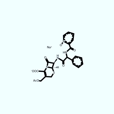 CC(=O)OCC1=C(C(=O)[O-])N2C(=O)[C@@H](NC(=O)C(NC(=O)c3cccc[n+]3[O-])c3ccccc3)[C@H]2SC1.[Na+]